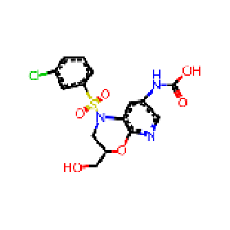 O=C(O)Nc1cnc2c(c1)N(S(=O)(=O)c1cccc(Cl)c1)CC(CO)O2